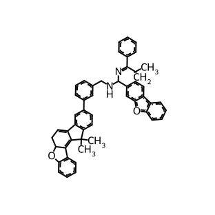 C=C(C)/C(=N\C(NCc1cccc(-c2ccc3c(c2)C2=CCC4Oc5ccccc5C4=C2C3(C)C)c1)c1ccc2c(c1)oc1ccccc12)c1ccccc1